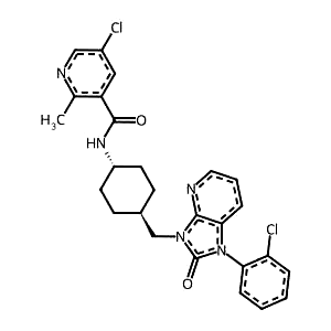 Cc1ncc(Cl)cc1C(=O)N[C@H]1CC[C@H](Cn2c(=O)n(-c3ccccc3Cl)c3cccnc32)CC1